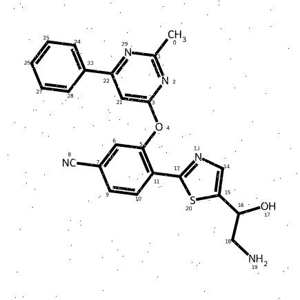 Cc1nc(Oc2cc(C#N)ccc2-c2ncc(C(O)CN)s2)cc(-c2ccccc2)n1